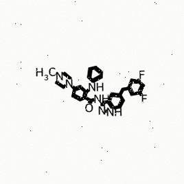 CN1CCN(c2ccc(C(=O)Nc3n[nH]c4ccc(Cc5cc(F)cc(F)c5)cc34)c(Nc3ccccc3)c2)CC1